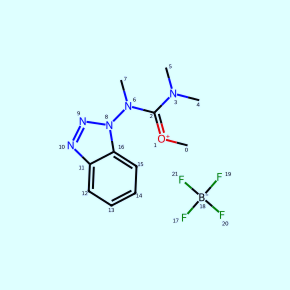 C[O+]=C(N(C)C)N(C)n1nnc2ccccc21.F[B-](F)(F)F